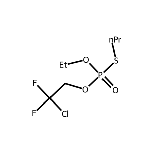 CCCSP(=O)(OCC)OCC(F)(F)Cl